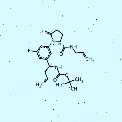 C=CCNC(=O)[C@H]1CCC(=O)N1c1cc(F)cc([C@H](CC=C)NC(=O)OC(C)(C)C)c1